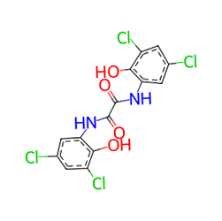 O=C(Nc1cc(Cl)cc(Cl)c1O)C(=O)Nc1cc(Cl)cc(Cl)c1O